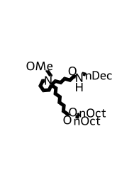 CCCCCCCCCCCNC(=O)CCCCC1(CCCCCCC(=O)OC(CCCCCCCC)CCCCCCCC)CCCCN1CCOC